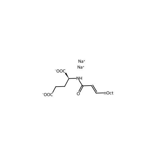 CCCCCCCCC=CC(=O)N[C@@H](CCC(=O)[O-])C(=O)[O-].[Na+].[Na+]